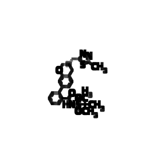 Cc1nnc(C[C@H]2COc3cc(-c4ccccc4C(=O)NS(=O)(=O)C(C)(C)C)ccc3C2)s1